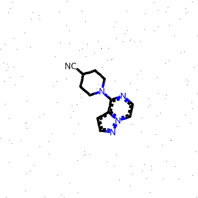 N#CC1CCN(c2nccn3nccc23)CC1